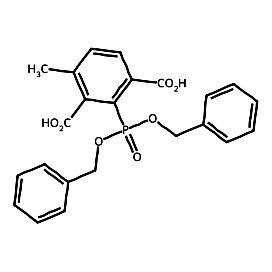 Cc1ccc(C(=O)O)c(P(=O)(OCc2ccccc2)OCc2ccccc2)c1C(=O)O